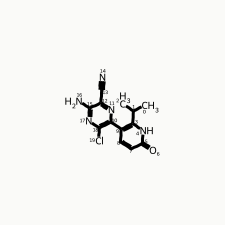 CC(C)c1[nH]c(=O)ccc1-c1nc(C#N)c(N)nc1Cl